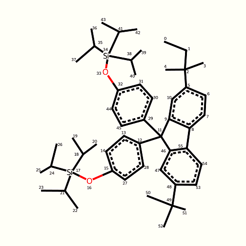 CCC(C)(C)c1ccc2c(c1)C(c1ccc(O[Si](C(C)C)(C(C)C)C(C)C)cc1)(c1ccc(O[Si](C(C)C)(C(C)C)C(C)C)cc1)c1cc(C(C)(C)C)ccc1-2